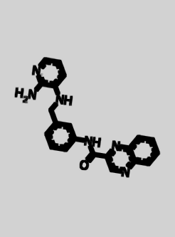 Nc1ncccc1NCc1cccc(NC(=O)c2cnc3ccccc3n2)c1